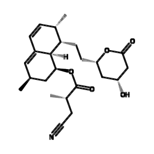 C[C@H]1C=C2C=C[C@H](C)[C@H](CC[C@H]3C[C@@H](O)CC(=O)O3)[C@H]2[C@@H](OC(=O)[C@@H](C)CC#N)C1